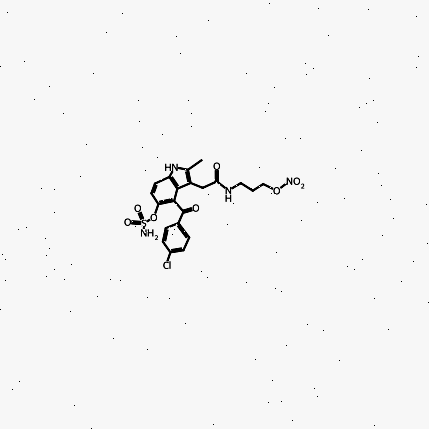 Cc1[nH]c2ccc(OS(N)(=O)=O)c(C(=O)c3ccc(Cl)cc3)c2c1CC(=O)NCCCO[N+](=O)[O-]